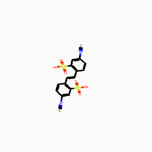 [C-]#[N+]c1ccc(/C=C/c2ccc([N+]#[C-])cc2S(=O)(=O)O)c(S(=O)(=O)O)c1